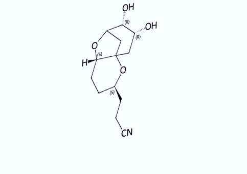 N#CCC[C@H]1CC[C@@H]2OC3CC2(C[C@@H](O)[C@H]3O)O1